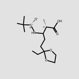 CCC1(CCC(N[S@@+]([O-])C(C)(C)C)[C@H](C)C(=O)O)OCCO1